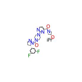 CC(C)OC1CN(C(=O)c2ccnc(N3CCN(C(=O)N4N=CC[C@H]4c4cc(F)cc(F)c4)CC3)n2)C1